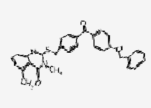 Cc1cccc2nc(SCc3ccc(C(=O)c4ccc(OCc5ccccc5)cc4)cc3)n(C)c(=O)c12